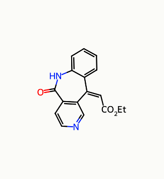 CCOC(=O)C=C1c2ccccc2NC(=O)c2ccncc21